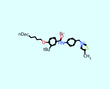 CCCCCCCCCCCCCCOc1ccc(C(=O)Nc2ccc(C[n+]3csc(C)c3)cc2)cc1C(C)(C)C.[Br-]